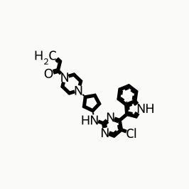 C=CC(=O)N1CCN([C@@H]2CC[C@H](Nc3ncc(Cl)c(-c4c[nH]c5ccccc45)n3)C2)CC1